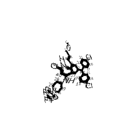 COCCCc1cc(C(c2ccc(Cl)cc2)c2ccc(Cl)cc2)cc2c(NC3CCN(S(=O)(=O)C(F)(F)F)CC3)cc(=O)[nH]c12